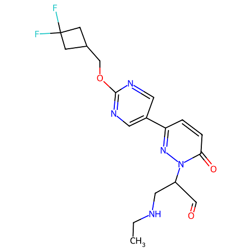 CCNCC(C=O)n1nc(-c2cnc(OCC3CC(F)(F)C3)nc2)ccc1=O